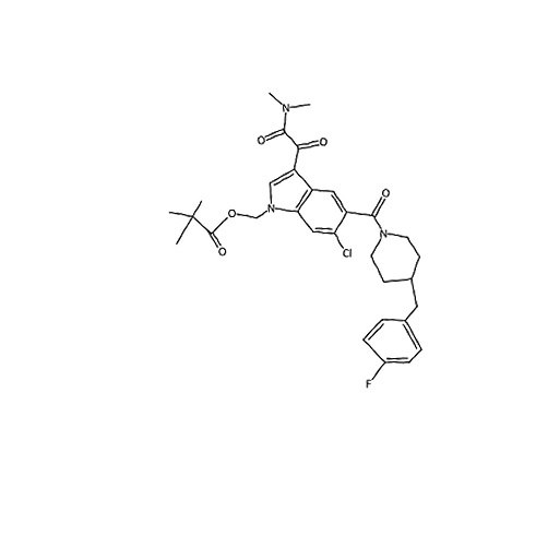 CN(C)C(=O)C(=O)c1cn(COC(=O)C(C)(C)C)c2cc(Cl)c(C(=O)N3CCC(Cc4ccc(F)cc4)CC3)cc12